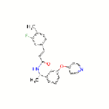 Cc1ccc(C=CC(=O)N[C@@H](C)c2cccc(Oc3ccncc3)c2)cc1F